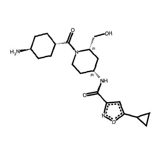 N[C@H]1CC[C@H](C(=O)N2CC[C@@H](NC(=O)c3cc(C4CC4)on3)C[C@H]2CO)CC1